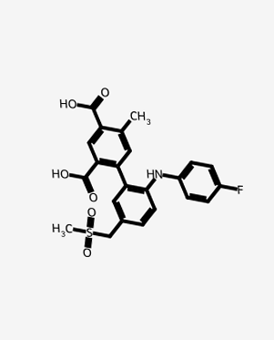 Cc1cc(-c2cc(CS(C)(=O)=O)ccc2Nc2ccc(F)cc2)c(C(=O)O)cc1C(=O)O